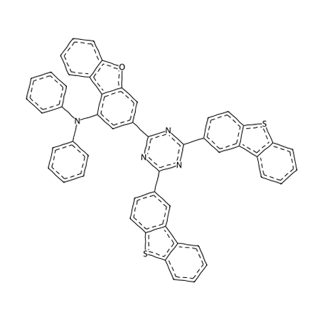 c1ccc(N(c2ccccc2)c2cc(-c3nc(-c4ccc5sc6ccccc6c5c4)nc(-c4ccc5sc6ccccc6c5c4)n3)cc3oc4ccccc4c23)cc1